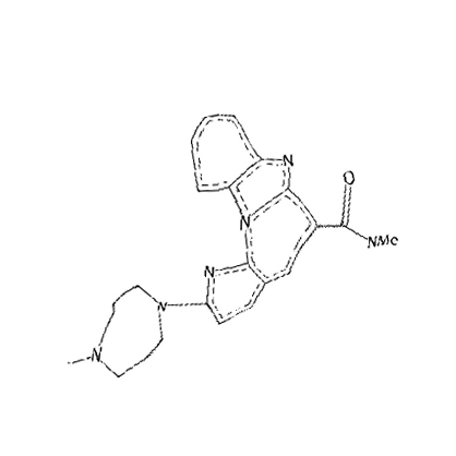 CNC(=O)c1cc2ccc(N3CCN(C)CC3)nc2n2c1nc1ccccc12